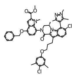 COC(=O)c1cc2c(OCc3ccccc3)ccc(N3C[C@@H](C)n4c(c(CCCOc5cc(C)c(Cl)c(C)c5)c5ccc(Cl)c(-c6c(C)nn(C)c6C)c54)C3=O)c2n1C